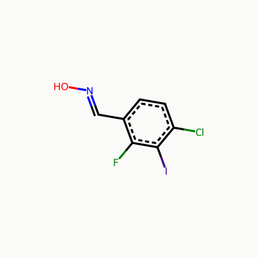 O/N=C/c1ccc(Cl)c(I)c1F